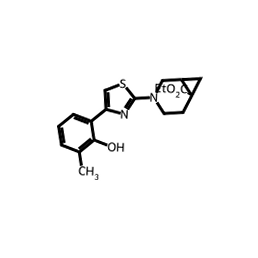 CCOC(=O)[C@@]12CCN(c3nc(-c4cccc(C)c4O)cs3)CC1C2